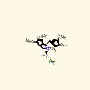 COc1ccc(C[C@@H]2c3cc(OC)c(OC)cc3C[C@@H](CCC(=O)O)[N@H+]2C)cc1OC.F[B-](F)(F)F